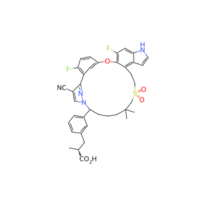 C[C@@H](Cc1cccc(C2CCCC(C)(C)CS(=O)(=O)CCc3c(c(F)cc4[nH]ccc34)Oc3ccc(F)c(c3)-c3nn2cc3C#N)c1)C(=O)O